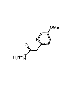 COc1ccc(CC(=O)NN)nc1